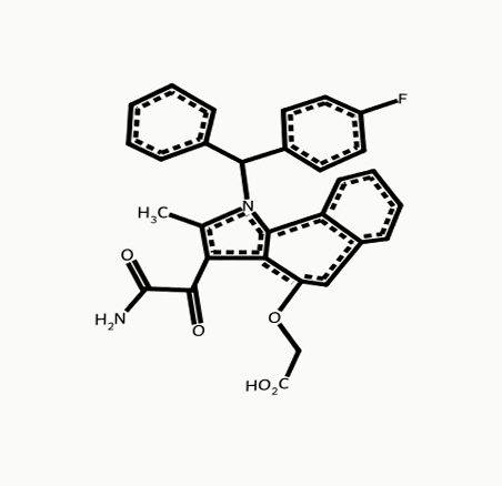 Cc1c(C(=O)C(N)=O)c2c(OCC(=O)O)cc3ccccc3c2n1C(c1ccccc1)c1ccc(F)cc1